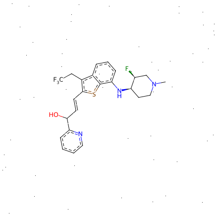 CN1CC[C@@H](Nc2cccc3c(CC(F)(F)F)c(/C=C/C(O)c4ccccn4)sc23)[C@@H](F)C1